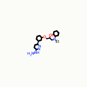 CCN(CC(O)COc1cccc(-c2ccc(NN)nn2)c1)c1ccccc1